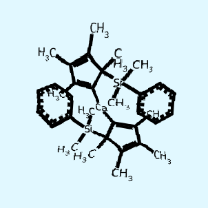 CC1=C(C)C(C)([Si](C)(C)c2ccccc2)[C]([Ca][C]2=C(C)C(C)=C(C)C2(C)[Si](C)(C)c2ccccc2)=C1C